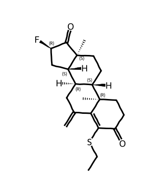 C=C1C[C@@H]2[C@H](CC[C@]3(C)C(=O)[C@H](F)C[C@@H]23)[C@@]2(C)CCC(=O)C(SCC)=C12